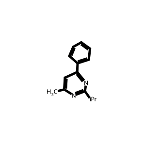 Cc1cc(-c2ccccc2)nc(C(C)C)n1